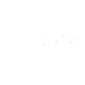 COc1cccc(CCNC(=O)Cn2cnc3c2COCN3C)c1